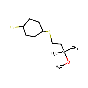 CO[Si](C)(C)CCSC1CCC(S)CC1